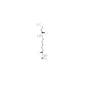 O=C(CCCCCNC(=O)CCS)NP